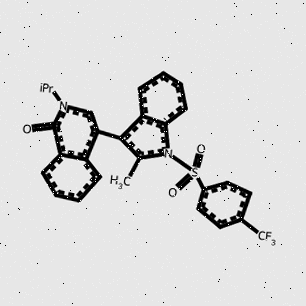 Cc1c(-c2cn(C(C)C)c(=O)c3ccccc23)c2ccccc2n1S(=O)(=O)c1ccc(C(F)(F)F)cc1